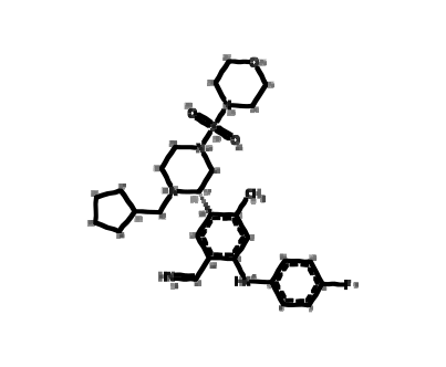 Cc1cc(Nc2ccc(F)cc2)c(C=N)cc1[C@H]1CN(S(=O)(=O)N2CCOCC2)CCN1CC1CCCC1